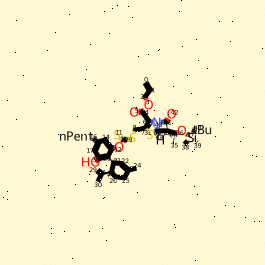 C=CCOC(=O)C1=C(CSC(=S)Oc2cc(CCCCC)cc(O)c2[C@@H]2C=C(C)CC[C@H]2C(=C)C)S[C@@H]2[C@@H]([C@@H](C)O[Si](C)(C)C(C)(C)C)C(=O)N12